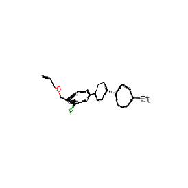 C=CCOCc1ccc(C2CCC([C@H]3CC[C@H](CC)CC3)CC2)cc1F